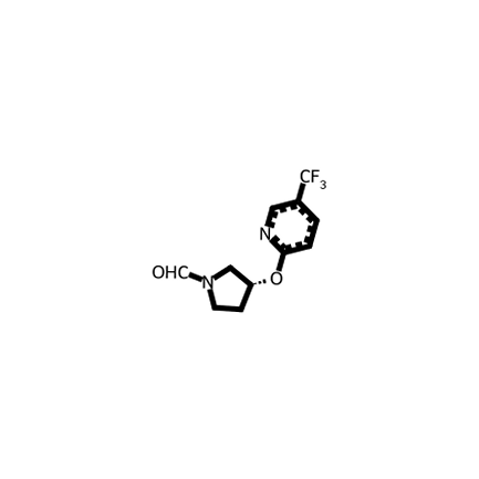 O=CN1CC[C@@H](Oc2ccc(C(F)(F)F)cn2)C1